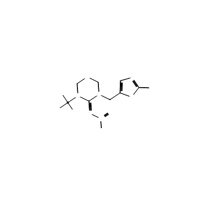 [2H]C([2H])([2H])N1COCN(Cc2cnc(Cl)s2)/C1=N\[N+](=O)[O-]